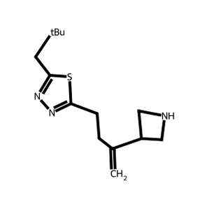 C=C(CCc1nnc(CC(C)(C)C)s1)C1CNC1